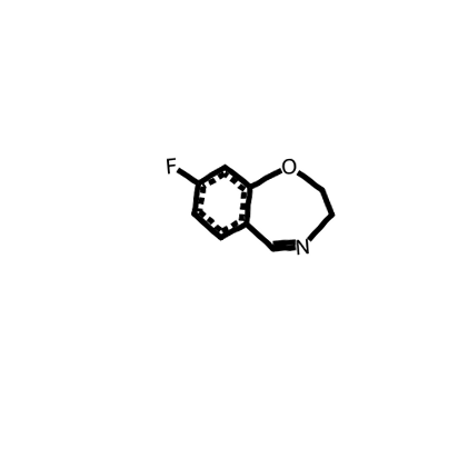 Fc1ccc2c(c1)OCCN=C2